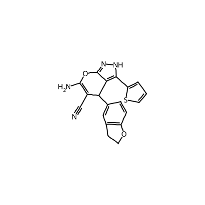 N#CC1=C(N)Oc2n[nH]c(-c3cccs3)c2C1c1ccc2c(c1)CCO2